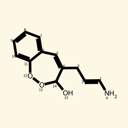 NC=CCC1=Cc2ccccc2OOC1O